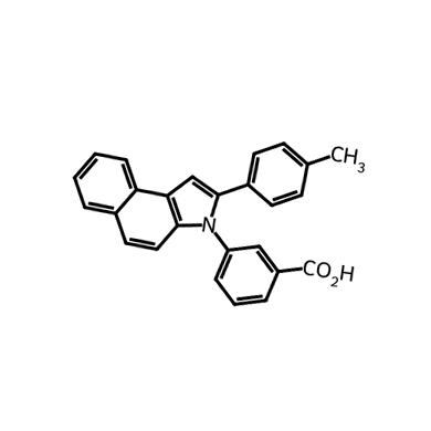 Cc1ccc(-c2cc3c4ccccc4ccc3n2-c2cccc(C(=O)O)c2)cc1